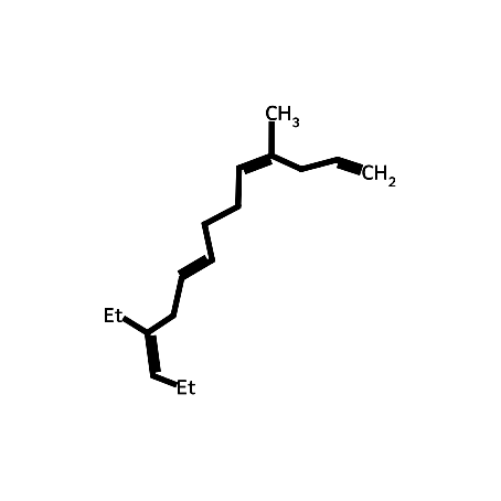 C=CCC(C)=CCCC=CCC(=CCC)CC